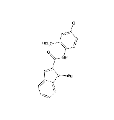 CCCCn1c(C(=O)Nc2ccc(Cl)cc2C(=O)O)cc2ccccc21